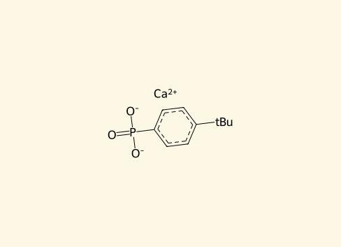 CC(C)(C)c1ccc(P(=O)([O-])[O-])cc1.[Ca+2]